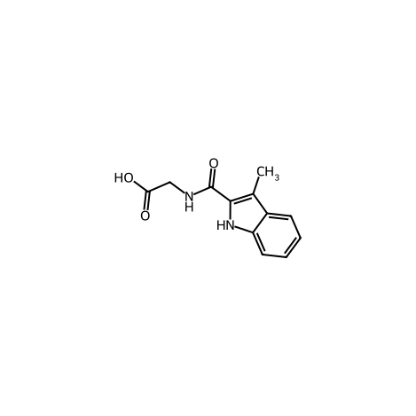 Cc1c(C(=O)NCC(=O)O)[nH]c2ccccc12